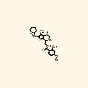 CCOc1ccc(C(=O)NCC2NCCc3c2sc(NC2CCCCO2)c3C(=O)O)c(O)c1